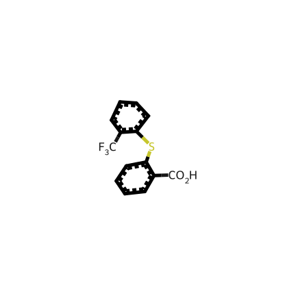 O=C(O)c1ccccc1Sc1ccccc1C(F)(F)F